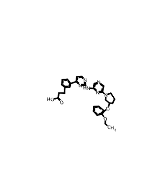 CCOc1ccccc1OC1CCCN(c2cncc(Nc3nccc(-c4cccc(CCC(=O)O)c4)n3)n2)C1